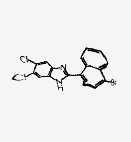 Clc1cc2nc(-c3ccc(Br)c4ccccc34)[nH]c2cc1Cl